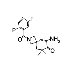 CC1(C)CC2(C=C(N)C1=O)CN(C(=O)c1cc(F)ccc1F)C2